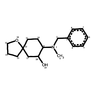 CN(Cc1ccccc1)C1CCC2(CCCO2)CC1O